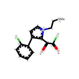 COCCn1ccc(-c2ccccc2Cl)c1C(=O)C(=O)Cl